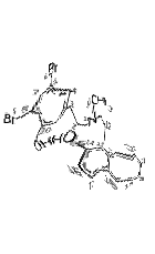 CN(Cc1cc(Br)cc(Br)c1O)Cc1c(O)ccc2ccccc12